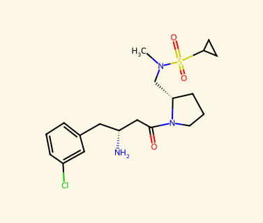 CN(C[C@@H]1CCCN1C(=O)C[C@H](N)Cc1cccc(Cl)c1)S(=O)(=O)C1CC1